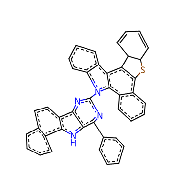 C1=CC2Sc3c(c4c5ccccc5n(-c5nc(-c6ccccc6)c6[nH]c7c8ccccc8ccc7c6n5)c4c4ccccc34)C2C=C1